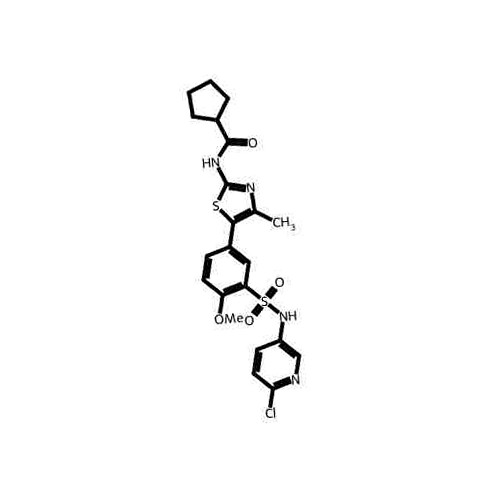 COc1ccc(-c2sc(NC(=O)C3CCCC3)nc2C)cc1S(=O)(=O)Nc1ccc(Cl)nc1